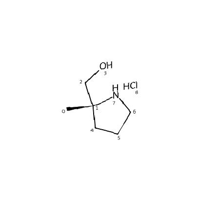 C[C@]1(CO)CCCN1.Cl